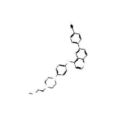 COCCN1CCN(c2ccc(Nc3ccnc4ccc(-c5ccc(C#N)cc5)cc34)cc2)CC1